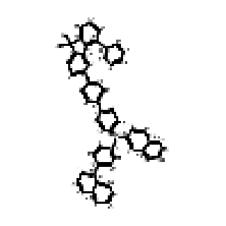 CC1(C)c2ccc(-c3ccc(-c4ccc(N(c5ccc(-c6cccc7ccccc67)cc5)c5ccc6ccccc6c5)cc4)cc3)cc2-c2c(-c3ccccc3)cccc21